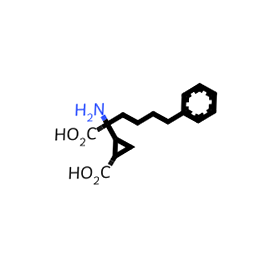 NC(CCCCc1ccccc1)(C(=O)O)C1CC1C(=O)O